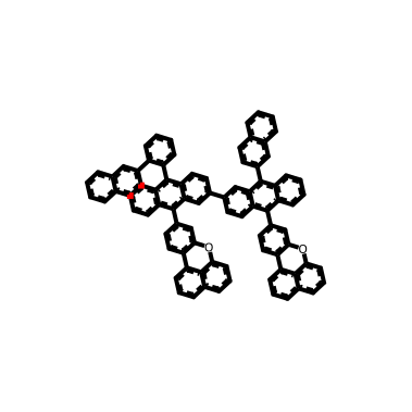 c1ccc(-c2c3ccccc3c(-c3ccc4c(c3)Oc3cccc5cccc-4c35)c3cc(-c4ccc5c(-c6ccc7c(c6)Oc6cccc8cccc-7c68)c6ccccc6c(-c6ccc7ccccc7c6)c5c4)ccc23)c(-c2ccc3ccccc3c2)c1